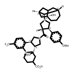 COC[C@H]1CN(C(=O)[C@]2(F)CN([C@H]3[C@@H]4CC5C[C@@H]3CCC[C@@]5(O)C4)C[C@H]2c2ccc(OC)cc2)C[C@@H]1c1ccc(C(F)(F)F)cc1N1CCC(C(=O)O)CC1